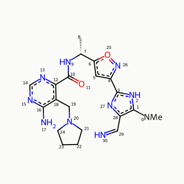 CNc1[nH]c(-c2cc([C@@H](C)NC(=O)c3ncnc(N)c3CN3CCCC3)on2)nc1C=N